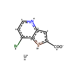 O=C([O-])c1cc2nccc(Br)c2s1.[Li+]